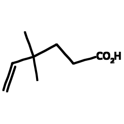 C=CC(C)(C)CCC(=O)O